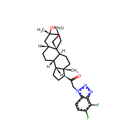 COCC[C@]12CC[C@@](C)(O)C[C@H]1CC[C@H]1[C@H]3CC[C@H](C(=O)Cn4nnc5c(F)c(F)ccc54)[C@@]3(C)CC[C@@H]12